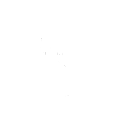 O=C(Nc1nonc1-c1ccc(Cl)cc1)NC1CCC(C(F)(F)F)CC1